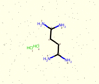 Cl.Cl.NC(N)CCC(N)N